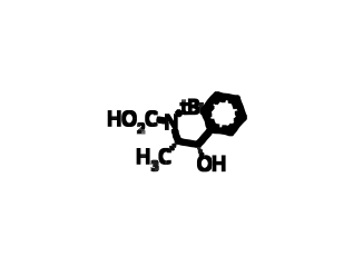 C[C@@H]([C@@H](O)c1ccccc1)N(C(=O)O)C(C)(C)C